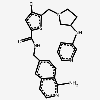 Nc1nccc2cc(CNC(=O)c3cc(Cl)c(CN4CCC(Nc5cccnc5)C4)s3)ccc12